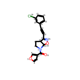 O=C(c1ccoc1)N1CCC2C(C#Cc3cccc(Cl)c3)=NOC21